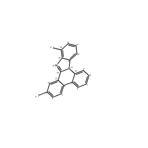 Ic1ccc2c3ccccc3n3c4cccc(I)c4nc3c2c1